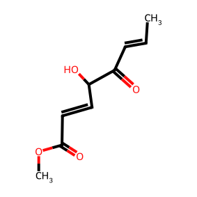 CC=CC(=O)C(O)C=CC(=O)OC